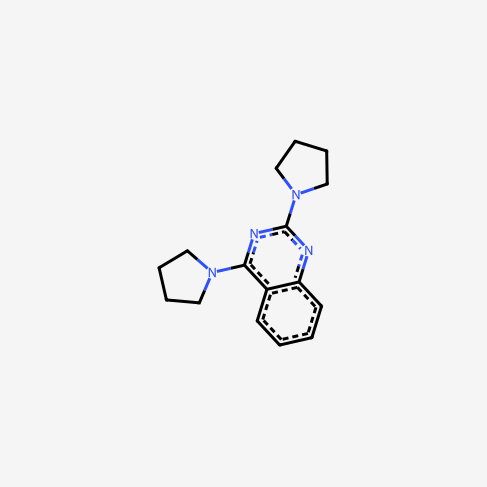 c1ccc2c(N3CCCC3)nc(N3CCCC3)nc2c1